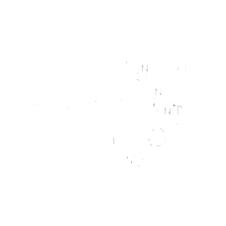 Cc1cc(C(CCOCCOCCOCCBr)C(=O)N2C[C@H](O)C[C@H]2C(=O)NC(C)c2ccc(-c3scnc3C)cc2)on1